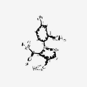 Cc1cc(C(C)C)ccc1-n1ncc(C(=O)O)c1C(N)=O